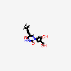 C[Si](C)(C)C#Cc1cn(C2CC(O)C(CO)C2)c(=O)[nH]c1=O